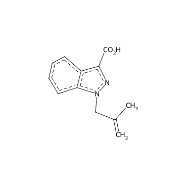 C=C(C)Cn1nc(C(=O)O)c2ccccc21